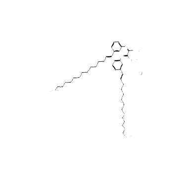 CCCCCCCCCCCCCCCCCCCCCCC=Cc1cccc(N=C(CCCC)C(CCCCCC)=Nc2cccc(C=CCCCCCCCCCCCCCCCCCCCCCC)c2)c1.[Ni]